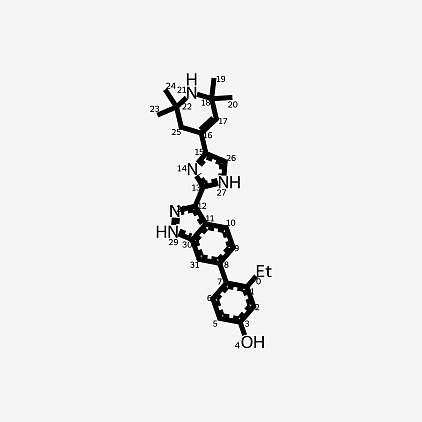 CCc1cc(O)ccc1-c1ccc2c(-c3nc(C4=CC(C)(C)NC(C)(C)C4)c[nH]3)n[nH]c2c1